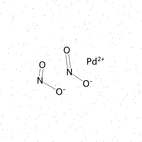 O=N[O-].O=N[O-].[Pd+2]